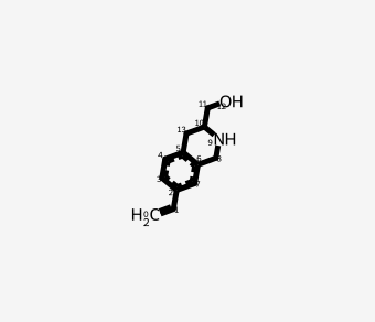 C=Cc1ccc2c(c1)CNC(CO)C2